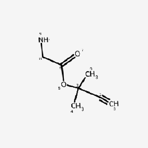 C#CC(C)(C)OC(=O)C[NH]